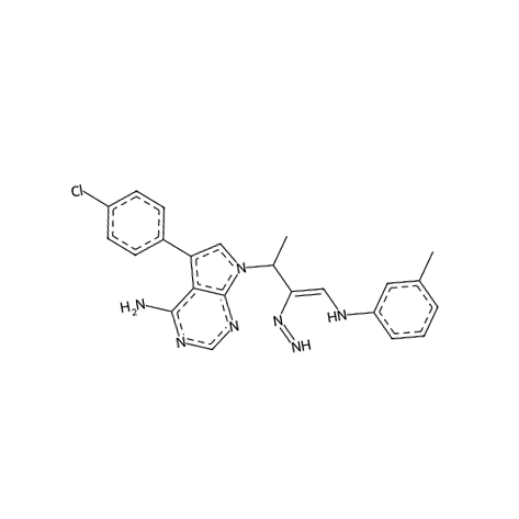 Cc1cccc(N/C=C(\N=N)C(C)n2cc(-c3ccc(Cl)cc3)c3c(N)ncnc32)c1